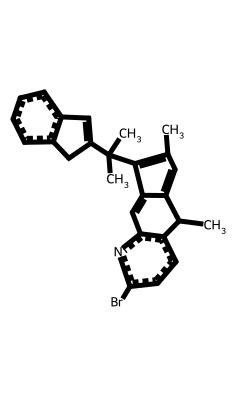 CC1=C(C(C)(C)C2=Cc3ccccc3C2)C2=Cc3nc(Br)ccc3C(C)C2=C1